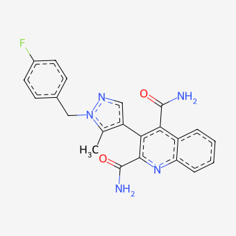 Cc1c(-c2c(C(N)=O)nc3ccccc3c2C(N)=O)cnn1Cc1ccc(F)cc1